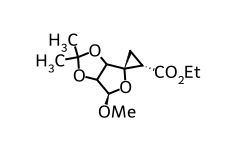 CCOC(=O)[C@H]1C[C@]12O[C@@H](OC)C1OC(C)(C)OC12